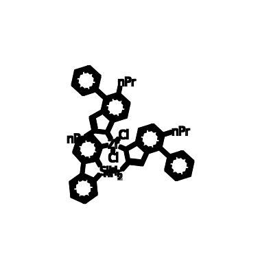 CCCC1=Cc2c(ccc(CCC)c2-c2ccccc2)[CH]1[Zr]([Cl])([Cl])([c]1cccc2c1[SiH2]c1ccccc1-2)[CH]1C(CCC)=Cc2c1ccc(CCC)c2-c1ccccc1